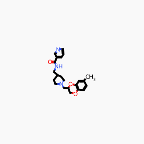 Cc1ccc2c(c1)OC(CN1CCC(CNC(=O)c3cccnc3)CC1)CO2